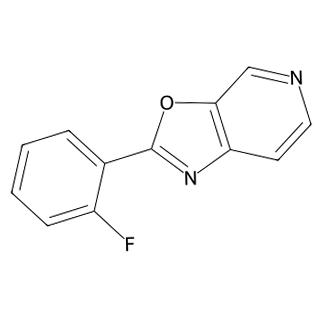 Fc1ccccc1-c1nc2ccncc2o1